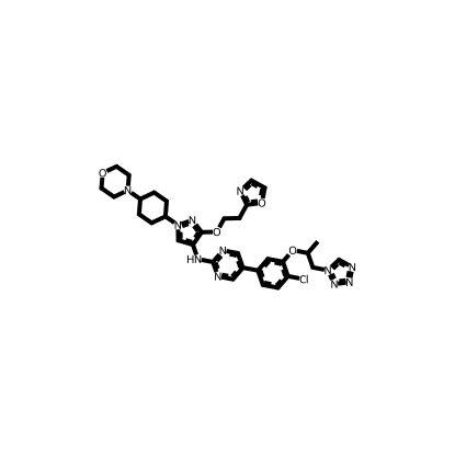 CC(Cn1cnnn1)Oc1cc(-c2cnc(Nc3cn(C4CCC(N5CCOCC5)CC4)nc3OCCc3ncco3)nc2)ccc1Cl